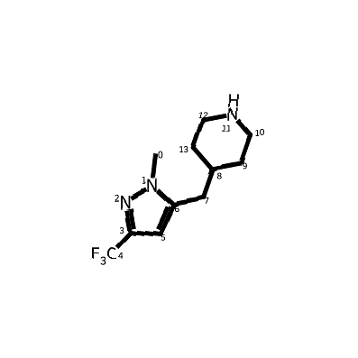 Cn1nc(C(F)(F)F)cc1CC1CCNCC1